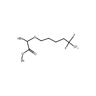 CCCCC(SCCCCC(F)(F)C(F)(F)F)C(=O)OC(C)C